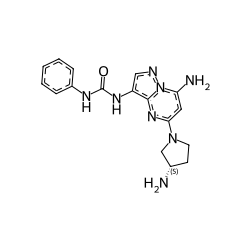 Nc1cc(N2CC[C@H](N)C2)nc2c(NC(=O)Nc3ccccc3)cnn12